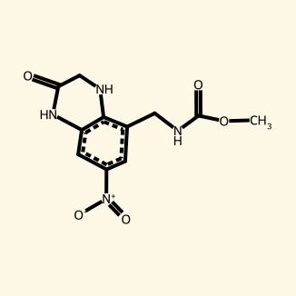 COC(=O)NCc1cc([N+](=O)[O-])cc2c1NCC(=O)N2